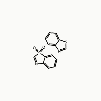 O=S1(=O)C=Nc2ccccc21.c1ccc2scnc2c1